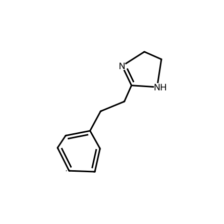 [c]1ccc(CCC2=NCCN2)cc1